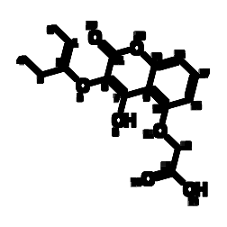 CC=C(CC)Oc1c(O)c2c(OCC(=O)O)cccc2oc1=O